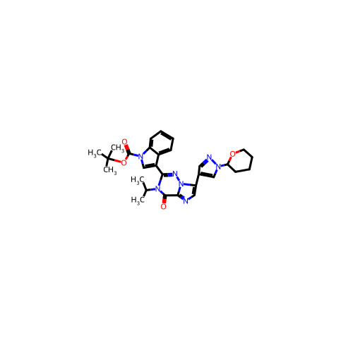 CC(C)n1c(-c2cn(C(=O)OC(C)(C)C)c3ccccc23)nn2c(-c3cnn(C4CCCCO4)c3)cnc2c1=O